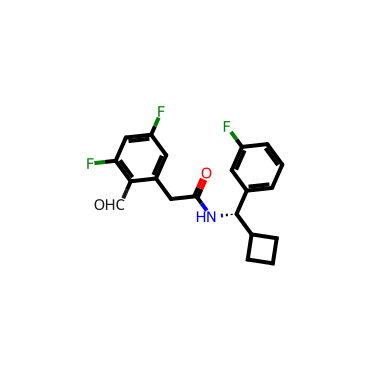 O=Cc1c(F)cc(F)cc1CC(=O)N[C@H](c1cccc(F)c1)C1CCC1